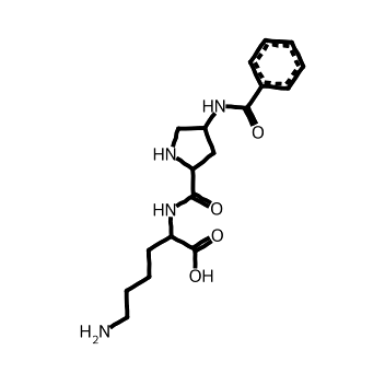 NCCCCC(NC(=O)C1CC(NC(=O)c2ccccc2)CN1)C(=O)O